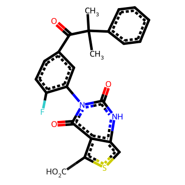 CC(C)(C(=O)c1ccc(F)c(-n2c(=O)[nH]c3csc(C(=O)O)c3c2=O)c1)c1ccccc1